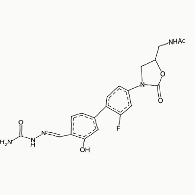 CC(=O)NCC1CN(c2ccc(-c3ccc(C=NNC(N)=O)c(O)c3)c(F)c2)C(=O)O1